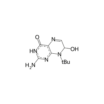 CC(C)(C)N1c2nc(N)[nH]c(=O)c2N=CC1O